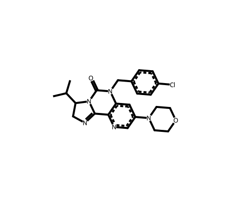 CC(C)C1CN=C2c3ncc(N4CCOCC4)cc3N(Cc3ccc(Cl)cc3)C(=O)N21